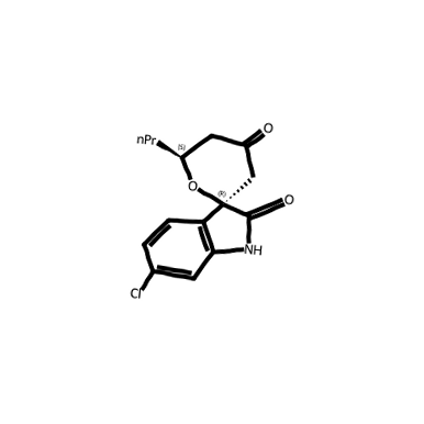 CCC[C@H]1CC(=O)C[C@]2(O1)C(=O)Nc1cc(Cl)ccc12